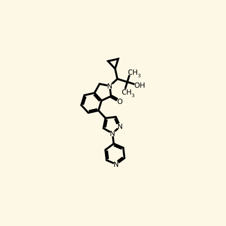 CC(C)(O)C(C1CC1)N1Cc2cccc(-c3cnn(-c4ccncc4)c3)c2C1=O